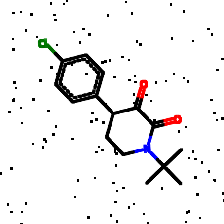 CC(C)(C)N1CCC(c2ccc(Cl)cc2)C(=O)C1=O